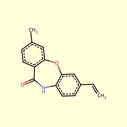 C=Cc1ccc2c(c1)Oc1cc(C)ccc1C(=O)N2